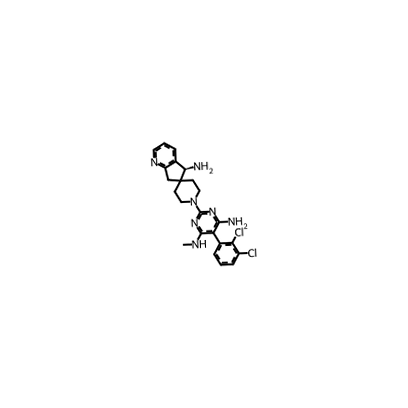 CNc1nc(N2CCC3(CC2)Cc2ncccc2[C@H]3N)nc(N)c1-c1cccc(Cl)c1Cl